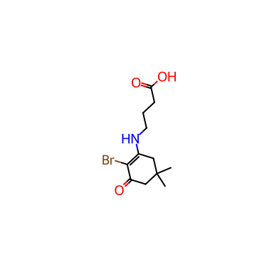 CC1(C)CC(=O)C(Br)=C(NCCCC(=O)O)C1